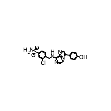 NS(=O)(=O)c1ccc(CNc2nccn3c(-c4ccc(O)cc4)cnc23)c(Cl)c1